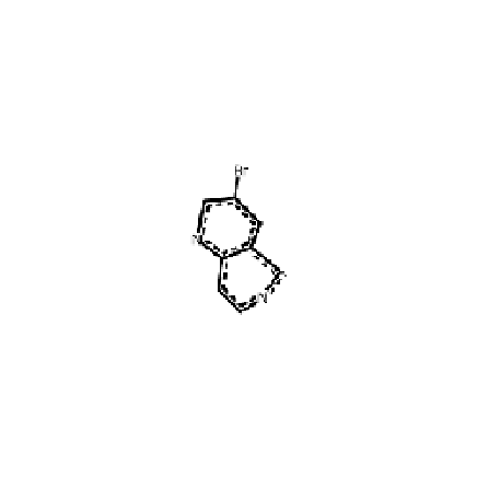 Brc1cnc2ccncc2c1